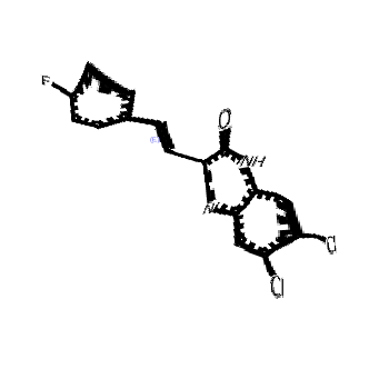 O=c1[nH]c2cc(Cl)c(Cl)cc2nc1/C=C/c1ccc(F)cc1